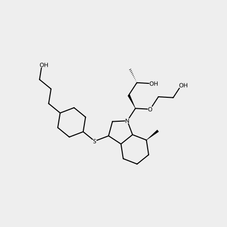 C[C@H](O)C[C@@H](OCCO)N1CC(SC2CCC(CCCO)CC2)C2CCC[C@H](C)C21